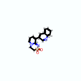 O=S1(=O)CCN2C=CC=C(c3cnc4ccccc4c3)C2=N1